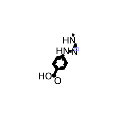 CN/C=N\Nc1ccc(C(=O)O)cc1